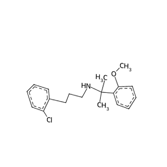 COc1ccccc1C(C)(C)NCCCc1ccccc1Cl